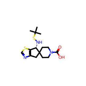 CC(C)(C)SN[C@H]1c2scnc2CC12CCN(C(=O)O)CC2